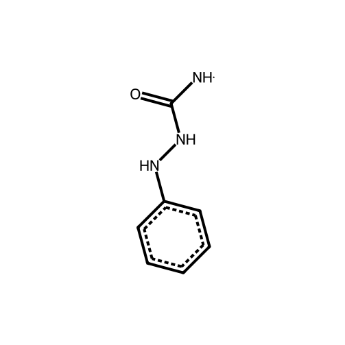 [NH]C(=O)NNc1ccccc1